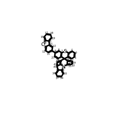 c1ccc2c(c1)Sc1cc(-c3ccc4oc5ccccc5c4c3)ccc1C21c2ccccc2-n2c3ccccc3c3cccc1c32